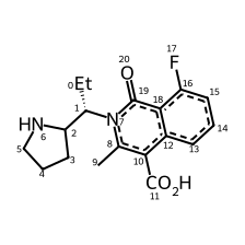 CC[C@@H](C1CCCN1)n1c(C)c(C(=O)O)c2cccc(F)c2c1=O